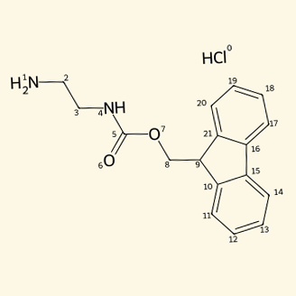 Cl.NCCNC(=O)OCC1c2ccccc2-c2ccccc21